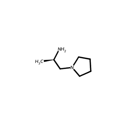 C[C@@H](N)CN1CCCC1